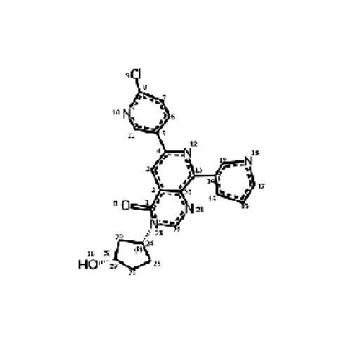 O=c1c2cc(-c3ccc(Cl)nc3)nc(-c3cccnc3)c2ncn1[C@@H]1CC[C@H](O)C1